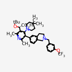 Cc1nc(C)c([C@H](OC(C)(C)C)C(=O)O)c(N2CCC(C)(C)CC2)c1-c1ccc2c(c1)CCN(Cc1cccc(OC(F)(F)F)c1)C2